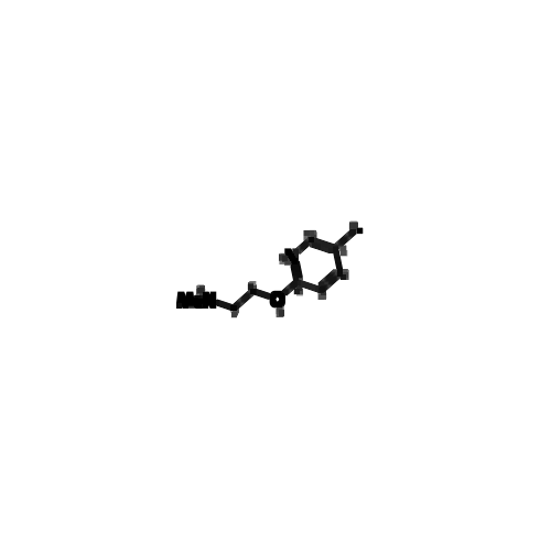 [CH2]c1ccc(OCCNC)nc1